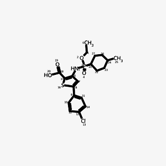 CCOP(=O)(Nc1cc(-c2ccc(Cl)cc2)sc1C(=O)O)C1CCC(C)CC1